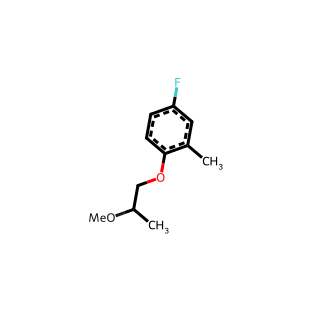 COC(C)COc1ccc(F)cc1C